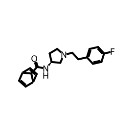 O=C(N[C@H]1CCN(CCc2ccc(F)cc2)C1)C1C2C=CC1C=C2